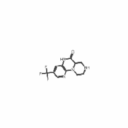 O=C1Nc2cc(C(F)(F)F)cnc2N2CCNCC12